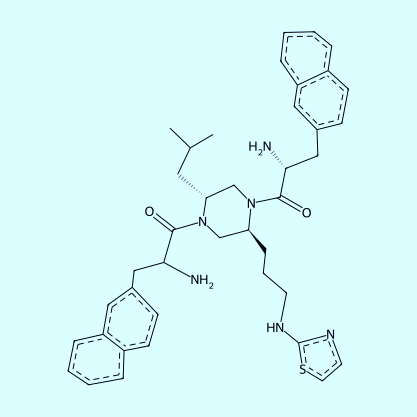 CC(C)C[C@@H]1CN(C(=O)[C@H](N)Cc2ccc3ccccc3c2)[C@@H](CCCNc2nccs2)CN1C(=O)C(N)Cc1ccc2ccccc2c1